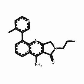 CCCN1Cc2nc3c(-c4cnccc4C)cccc3c(N)c2C1=O